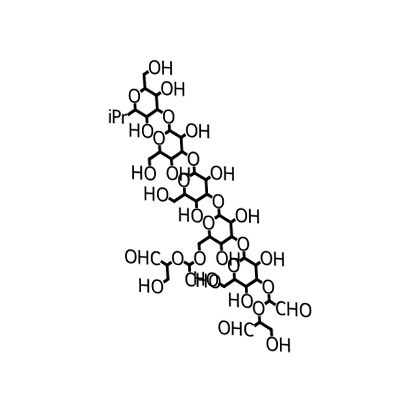 CC(C)C1OC(CO)C(O)C(OC2OC(CO)C(O)C(OC3OC(CO)C(O)C(OC4OC(COC(C=O)OC(C=O)CO)C(O)C(OC5OC(CO)C(O)C(OC(C=O)OC(C=O)CO)C5O)C4O)C3O)C2O)C1O